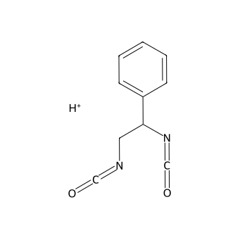 O=C=NCC(N=C=O)c1ccccc1.[H+]